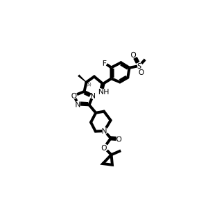 C[C@@H](CC(=N)c1ccc(S(C)(=O)=O)cc1F)c1nc(C2CCN(C(=O)OC3(C)CC3)CC2)no1